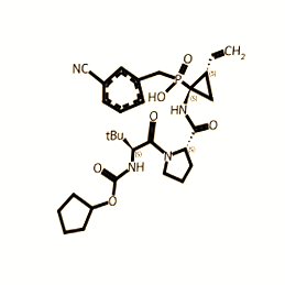 C=C[C@@H]1C[C@]1(NC(=O)[C@@H]1CCCN1C(=O)[C@@H](NC(=O)OC1CCCC1)C(C)(C)C)P(=O)(O)Cc1cccc(C#N)c1